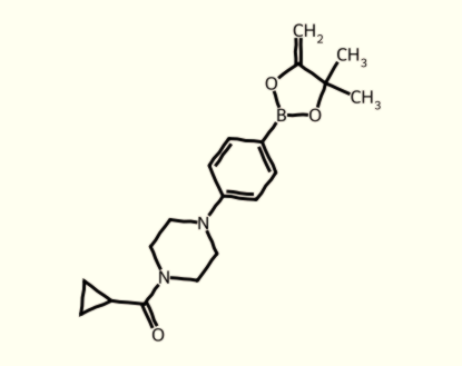 C=C1OB(c2ccc(N3CCN(C(=O)C4CC4)CC3)cc2)OC1(C)C